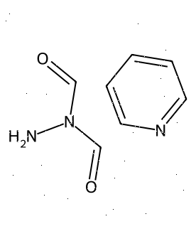 NN(C=O)C=O.c1ccncc1